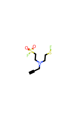 C#CCN(CCSF)CCS(=O)(=O)F